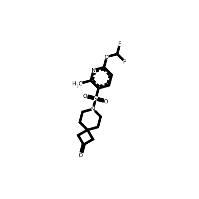 Cc1nc(OC(F)F)ccc1S(=O)(=O)N1CCC2(CC1)CC(=O)C2